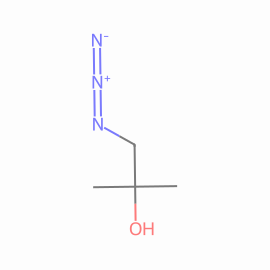 CC(C)(O)CN=[N+]=[N-]